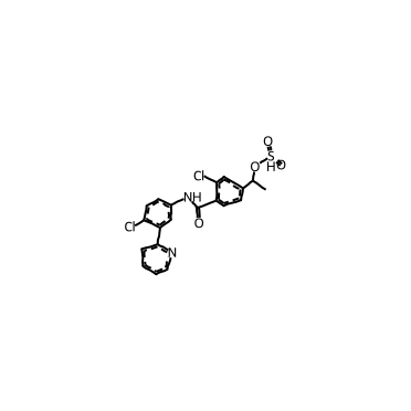 CC(O[SH](=O)=O)c1ccc(C(=O)Nc2ccc(Cl)c(-c3ccccn3)c2)c(Cl)c1